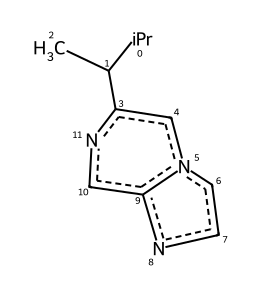 CC(C)C(C)c1cn2ccnc2cn1